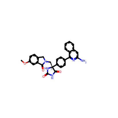 COc1ccc2c(c1)C(=O)N(C[C@]1(c3ccc(-c4nc(N)cc5ccccc45)cc3)NC(=O)NC1=O)C2